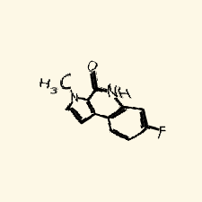 Cn1ccc2c3ccc(F)cc3[nH]c(=O)c21